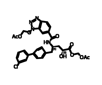 CC(=O)OCOC(=O)[C@H](O)C[C@@H](Cc1ccc(-c2cccc(Cl)c2)cc1)NC(=O)c1ccc2nnn(OCOC(C)=O)c2c1